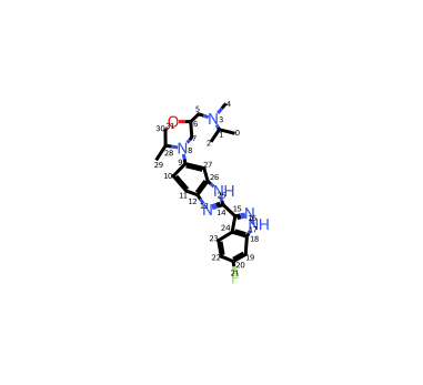 CC(C)N(C)CC1CN(c2ccc3nc(-c4n[nH]c5cc(F)ccc45)[nH]c3c2)C(C)CO1